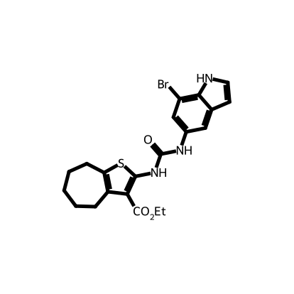 CCOC(=O)c1c(NC(=O)Nc2cc(Br)c3[nH]ccc3c2)sc2c1CCCCC2